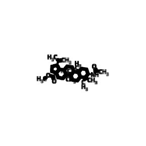 C=C(C)[C@@H]1CC[C@]2(C(=O)OC)CC[C@]3(C)C(CCC4[C@@]5(C)CC[C@H](NC(C)=O)C(C)(C)C5CC[C@]43C)C12